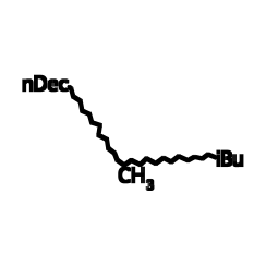 CCCCCCCCCCCCCCCCCCCCCCC(C)CCCCCCCCCCCC(C)CC